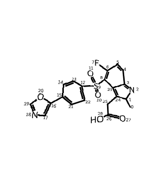 CC1N=c2ccc(F)c(S(=O)(=O)c3ccc(-c4cnco4)cc3)c2=C1CC(=O)O